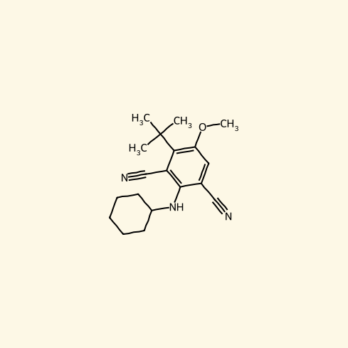 COc1cc(C#N)c(NC2CCCCC2)c(C#N)c1C(C)(C)C